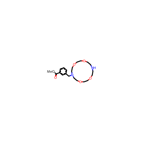 COC(=O)c1cccc(CN2CCOCCOCCNCCOCCOCC2)c1